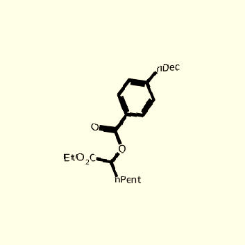 CCCCCCCCCCc1ccc(C(=O)OC(CCCCC)C(=O)OCC)cc1